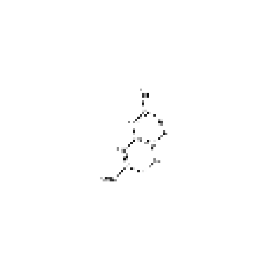 O=CC1=Nc2cc(O)ccc2CC1